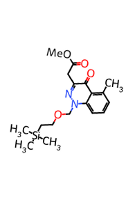 COC(=O)Cc1nn(COCC[Si](C)(C)C)c2cccc(C)c2c1=O